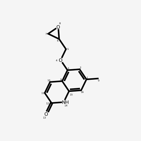 Cc1cc(OCC2CO2)c2ccc(=O)[nH]c2c1